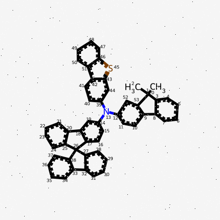 CC1(C)c2ccccc2-c2ccc(N(c3ccc4c(c3)-c3ccccc3C43c4ccccc4-c4ccccc43)c3ccc4c(c3)sc3ccccc34)cc21